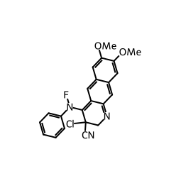 COc1cc2cc3c(cc2cc1OC)=C(N(F)c1ccccc1)C(Cl)(C#N)CN=3